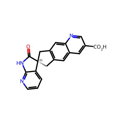 O=C(O)c1cnc2cc3c(cc2c1)C[C@@]1(C3)C(=O)Nc2ncccc21